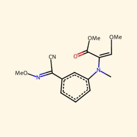 COC=C(C(=O)OC)N(C)c1cccc(C(C#N)=NOC)c1